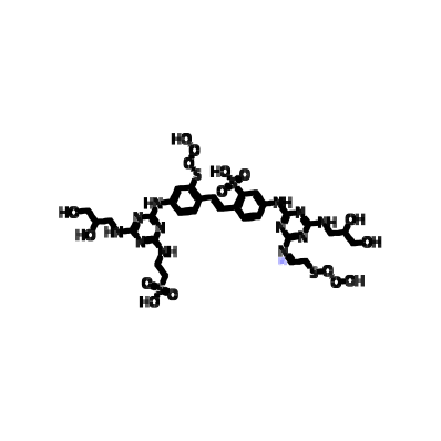 O=S(=O)(O)CCNc1nc(NCC(O)CO)nc(Nc2ccc(C=Cc3ccc(Nc4nc(/N=C\CSOOO)nc(NCC(O)CO)n4)cc3S(=O)(=O)O)c(SOOO)c2)n1